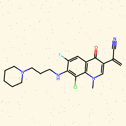 C=C(C#N)c1cn(C)c2c(Cl)c(NCCCN3CCCCC3)c(F)cc2c1=O